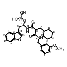 COc1cccc(CNC(=O)C(CC2CCCCC2)C(=O)N[C@@H](Cc2coc3ccccc23)OB(O)O)c1